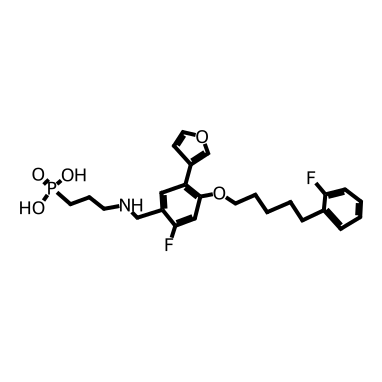 O=P(O)(O)CCCNCc1cc(-c2ccoc2)c(OCCCCCc2ccccc2F)cc1F